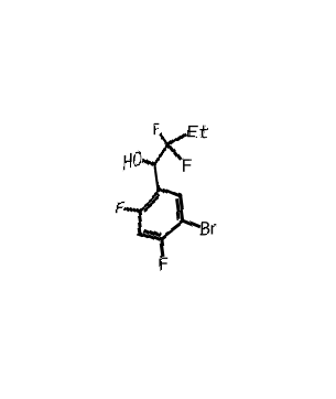 CCC(F)(F)C(O)c1cc(Br)c(F)cc1F